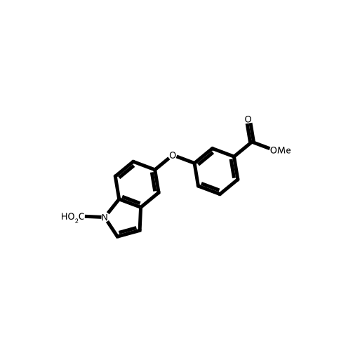 COC(=O)c1cccc(Oc2ccc3c(ccn3C(=O)O)c2)c1